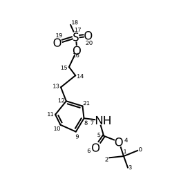 CC(C)(C)OC(=O)Nc1cccc(CCCOS(C)(=O)=O)c1